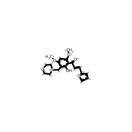 COc1cc(OC)c(C(=O)/C=C/c2ccco2)c(O)c1CN1CCOCC1